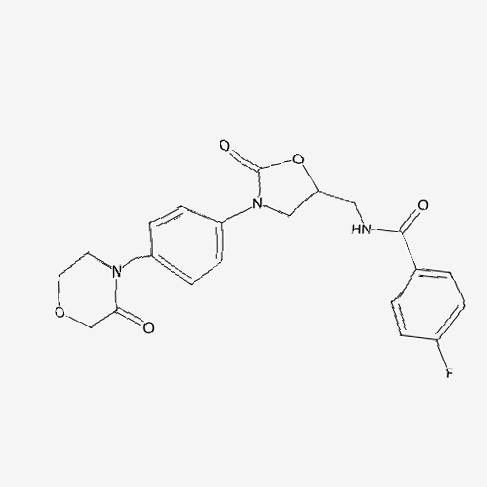 O=C(NCC1CN(c2ccc(N3CCOCC3=O)cc2)C(=O)O1)c1ccc(F)cc1